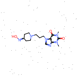 Cn1c(=O)c2c(ncn2CCCN2CCC(=NO)CC2)n(C)c1=O